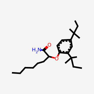 CCCCCCC(Oc1ccc(C(C)(C)CC)cc1C(C)(C)CC)C(N)=O